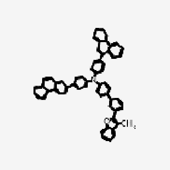 Cc1c(-c2cccc(-c3ccc(N(c4ccc(-c5ccc6c(ccc7ccccc76)c5)cc4)c4ccc(-c5cc6ccccc6c6ccccc56)cc4)cc3)c2)oc2ccccc12